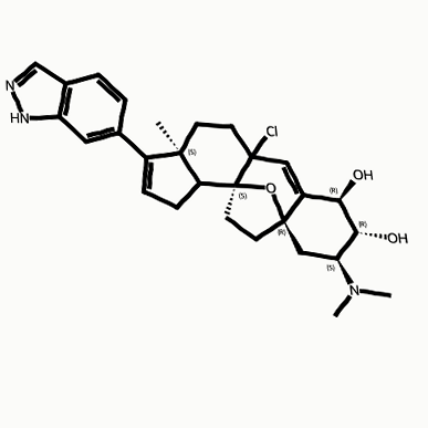 CN(C)[C@H]1C[C@@]23CC[C@]4(O2)C2CC=C(c5ccc6cn[nH]c6c5)[C@@]2(C)CCC4(Cl)C=C3[C@@H](O)[C@@H]1O